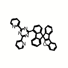 c1ccc(-c2nc(-c3ccccn3)nc(-c3cccc4c3-c3ccccc3C43c4ccccc4-c4c3oc3ccccc43)n2)nc1